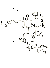 CCCCNC(=O)C(C(C)C)N(C(=O)C(CO)NC(=O)OC(C)(C)C)C(C)C